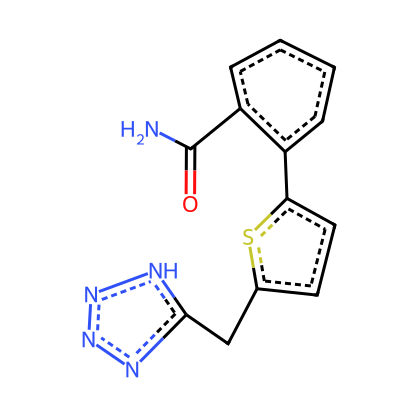 NC(=O)c1ccccc1-c1ccc(Cc2nnn[nH]2)s1